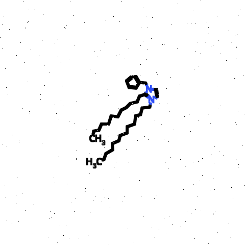 CCCCCCCCCCCCCC[n+]1ccn(Cc2ccccc2)c1CCCCCCCCCCCC